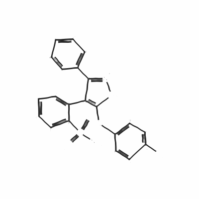 NS(=O)(=O)c1ccccc1-c1c(-c2ccccc2)noc1Sc1ccc(Cl)cc1